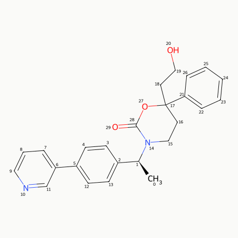 C[C@@H](c1ccc(-c2cccnc2)cc1)N1CCC(CCO)(c2ccccc2)OC1=O